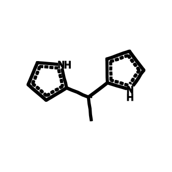 C[C](c1ccc[nH]1)c1ccc[nH]1